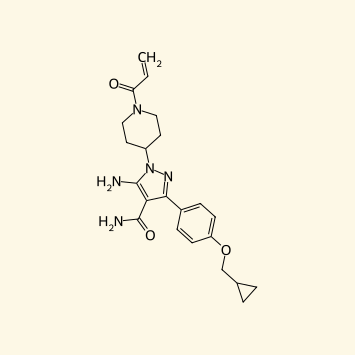 C=CC(=O)N1CCC(n2nc(-c3ccc(OCC4CC4)cc3)c(C(N)=O)c2N)CC1